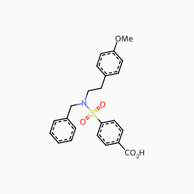 COc1ccc(CCN(Cc2ccccc2)S(=O)(=O)c2ccc(C(=O)O)cc2)cc1